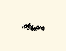 CCc1nc2ccc(C3CCN(CC4CCCCC4)CC3)cn2c1N(C)c1nc(-c2ccc(F)cc2)cs1